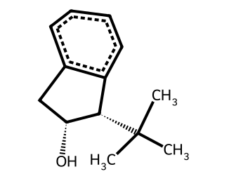 CC(C)(C)[C@H]1c2ccccc2C[C@H]1O